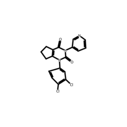 O=c1c2c(n(-c3ccc(Cl)c(Cl)c3)c(=O)n1-c1cccnc1)CCC2